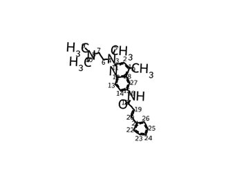 Cc1cc(N(C)CCN(C)C)nc2ccc(NC(=O)C=Cc3ccccc3)cc12